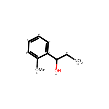 COc1ccccc1C(O)C[N+](=O)[O-]